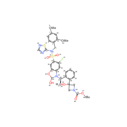 COc1ccc(CN(c2ncns2)S(=O)(=O)c2cc3c(cc2F)N([C@H](C)c2ccccc2C2(O)CN(C(=O)OC(C)(C)C)C2)C(O)O3)c(OC)c1